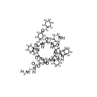 NCCNC(=O)O[C@@H]1C[C@H]2C(=O)N[C@@H](c3ccccc3)C(=O)N[C@H](Cc3c[nH]c4ccccc34)C(=O)NC(CC3CCNCC3)C(=O)N[C@@H](Cc3ccc(OCc4ccccc4)cc3)C(=O)NC(Cc3ccccc3)C(=O)N2C1